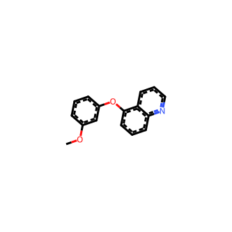 COc1cccc(Oc2cccc3ncccc23)c1